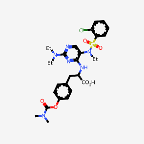 CCN(CC)c1ncc(N(CC)S(=O)(=O)c2ccccc2Cl)c(NC(Cc2ccc(OC(=O)N(C)C)cc2)C(=O)O)n1